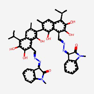 Cc1cc2c(C(C)C)c(O)c(O)c(/C=N/N=C3\C(=O)N(C)c4ccccc43)c2c(O)c1-c1c(C)cc2c(C(C)C)c(O)c(O)c(/C=N/N=C3/C(=O)N(C)c4ccccc43)c2c1O